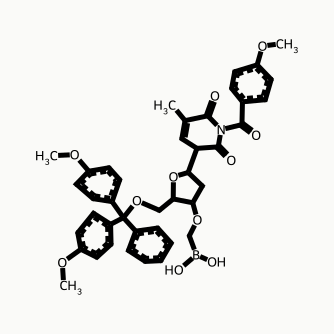 COc1ccc(C(=O)N2C(=O)C(C)=CC(C3CC(OCB(O)O)C(COC(c4ccccc4)(c4ccc(OC)cc4)c4ccc(OC)cc4)O3)C2=O)cc1